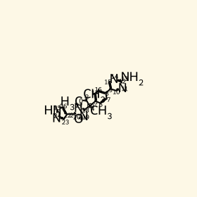 CC(C)[C@@](C)(c1ccc(-c2cnc(N)nc2)cc1)c1noc(-c2cn[nH]c2)n1